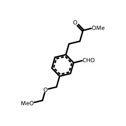 COCOCc1ccc(CCC(=O)OC)c(C=O)c1